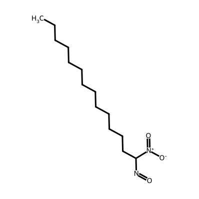 CCCCCCCCCCCCCC(N=O)[N+](=O)[O-]